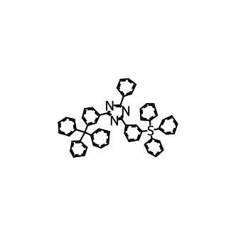 c1ccc(-c2nc(-c3cccc(C(c4ccccc4)(c4ccccc4)c4ccccc4)c3)nc(-c3cccc(S(c4ccccc4)(c4ccccc4)c4ccccc4)c3)n2)cc1